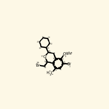 COc1c(Br)cc(C)c2c1CC(C1CCCCC1)OC2CBr